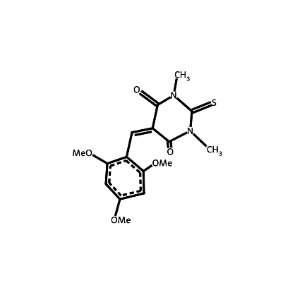 COc1cc(OC)c(C=C2C(=O)N(C)C(=S)N(C)C2=O)c(OC)c1